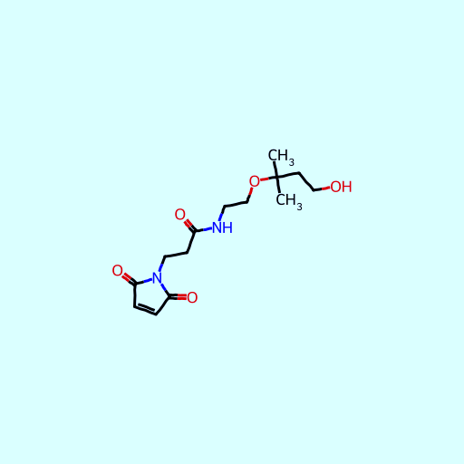 CC(C)(CCO)OCCNC(=O)CCN1C(=O)C=CC1=O